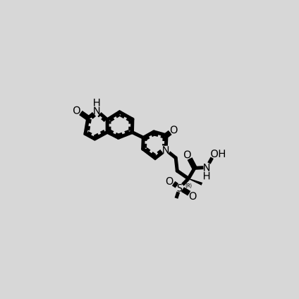 C[C@@](CCn1ccc(-c2ccc3[nH]c(=O)ccc3c2)cc1=O)(C(=O)NO)S(C)(=O)=O